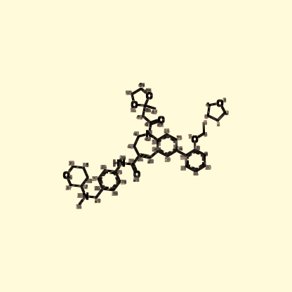 C1CCOC1.CCOc1ccccc1-c1ccc2c(c1)C=C(C(=O)Nc1ccc(CN(C)C3CCCOC3)cc1)CCN2C(=O)CC1(C)OCCO1